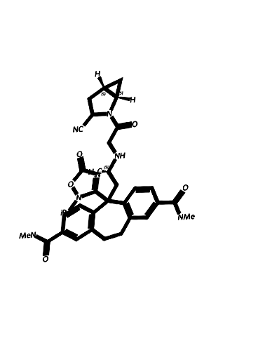 CNC(=O)c1ccc2c(c1)CCc1cc(C(=O)NC)ccc1C2(C[C@H](C)NCC(=O)N1C(C#N)C[C@@H]2C[C@@H]21)c1nc(=O)on1C(C)C